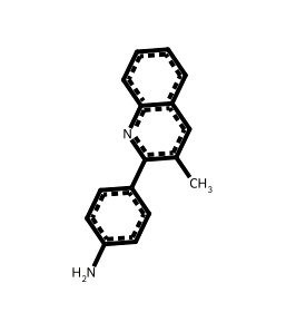 Cc1cc2ccccc2nc1-c1ccc(N)cc1